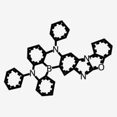 c1ccc(N2c3ccccc3B3c4cc5nc6oc7ccccc7n6c5cc4N(c4ccccc4)c4cccc2c43)cc1